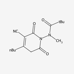 CCCCC1=C(C#N)C(=O)N(N(C)C(=O)C(C)(C)C)C(=O)C1